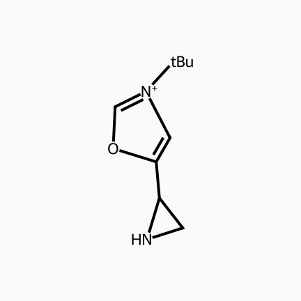 CC(C)(C)[n+]1coc(C2CN2)c1